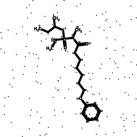 CCC(C)SP(=O)(NC)N(C)C(=O)CCCCCCOc1ccccc1